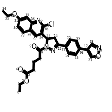 CCOC(=O)CCCC(=O)N1N=C(c2ccc(-c3cnoc3)cc2)CC1c1cc2ccc(OCC)cc2nc1Cl